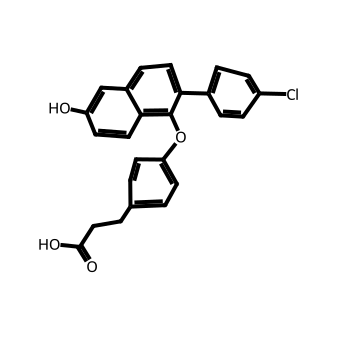 O=C(O)CCc1ccc(Oc2c(-c3ccc(Cl)cc3)ccc3cc(O)ccc23)cc1